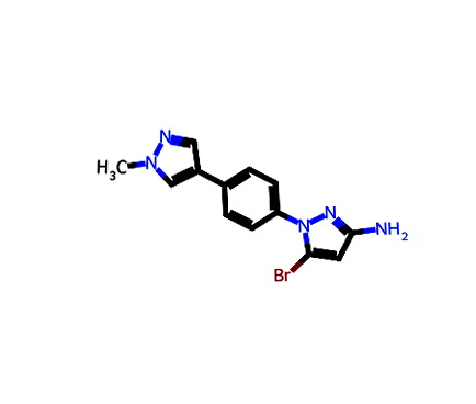 Cn1cc(-c2ccc(-n3nc(N)cc3Br)cc2)cn1